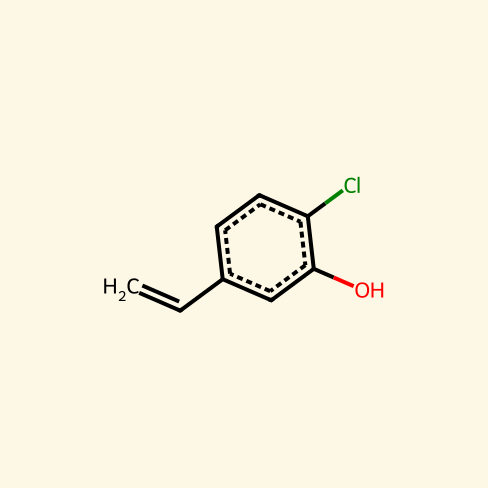 C=Cc1ccc(Cl)c(O)c1